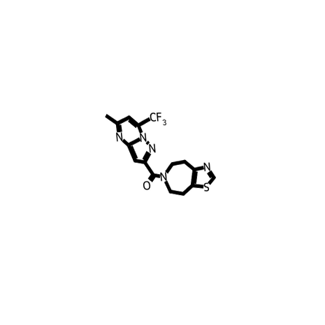 Cc1cc(C(F)(F)F)n2nc(C(=O)N3CCc4ncsc4CC3)cc2n1